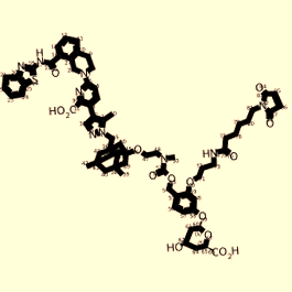 Cc1c(-c2ccc(N3CCc4cccc(C(=O)Nc5nc6ccccc6s5)c4C3)nc2C(=O)O)cnn1CC12CC3(C)CC(C)(C1)CC(OCCN(C)C(=O)OCc1ccc(O[C@H]4C[C@@H](O)C[C@@H](C(=O)O)O4)cc1OCCCNC(=O)CCCCCN1C(=O)C=CC1=O)(C3)C2